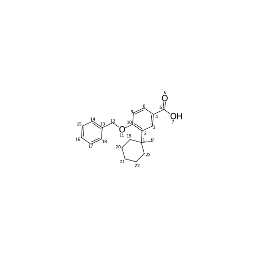 CC1(c2cc(C(=O)O)ccc2OCc2ccccc2)CCCCC1